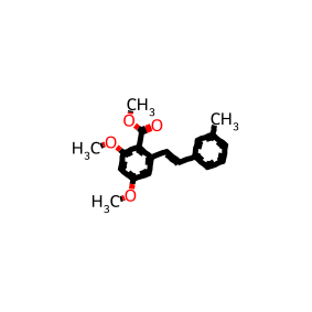 COC(=O)c1c(/C=C/c2cccc(C)c2)cc(OC)cc1OC